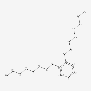 CCCCCCCCc1cccnc1CCCCCCCC